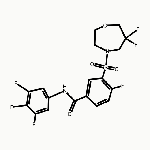 O=C(Nc1cc(F)c(F)c(F)c1)c1ccc(F)c(S(=O)(=O)N2CCOCC(F)(F)C2)c1